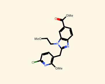 COCCn1c(Cc2ccc(Cl)nc2OC)nc2ccc(C(=O)OC)cc21